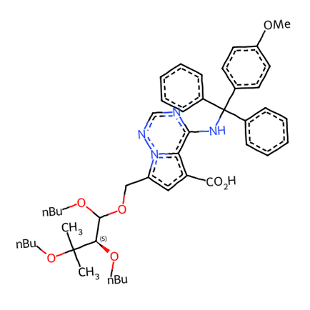 CCCCOC(OCc1cc(C(=O)O)c2c(NC(c3ccccc3)(c3ccccc3)c3ccc(OC)cc3)ncnn12)[C@@H](OCCCC)C(C)(C)OCCCC